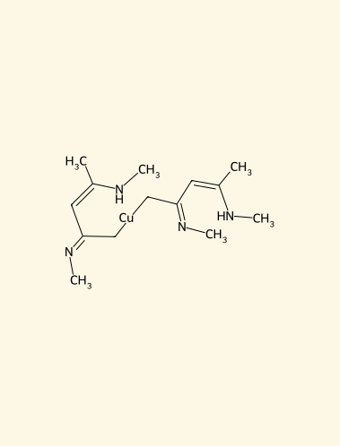 CN=C(C=C(C)NC)[CH2][Cu][CH2]C(C=C(C)NC)=NC